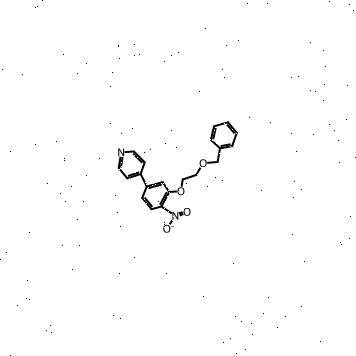 O=[N+]([O-])c1ccc(-c2ccncc2)cc1OCCOCc1ccccc1